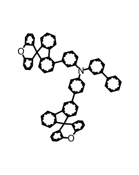 c1ccc(-c2cccc(N(c3ccc(-c4ccc5c(c4)-c4ccccc4C54c5ccccc5Oc5ccccc54)cc3)c3cccc(-c4cccc5c4-c4ccccc4C54c5ccccc5Oc5ccccc54)c3)c2)cc1